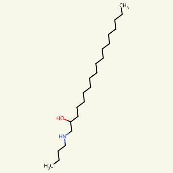 CCCCCCCCCCCCCCCCC(O)CNCCCC